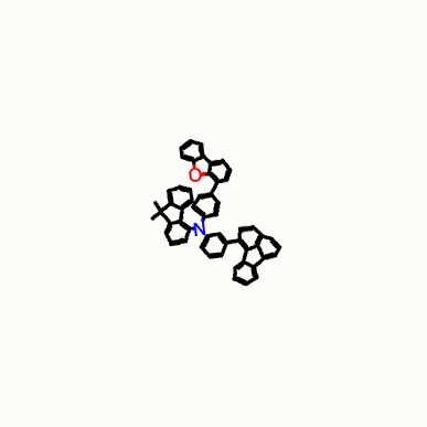 CC1(C)c2ccccc2-c2c(N(c3ccc(-c4cccc5c4oc4ccccc45)cc3)c3cccc(-c4ccc5cccc6c5c4-c4ccccc4-6)c3)cccc21